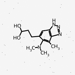 Cc1c(N(C)C)c(CCC(O)O)cc2[nH]nnc12